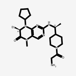 CC[C@@H]1C(=O)N(C)c2cnc(N[C@@H](C)C3CCN(C(=O)CN)CC3)nc2N1C1CCCC1